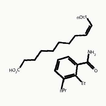 CCCCCCCC/C=C\CCCCCCCC(=O)O.CCCc1cccc(C(N)=O)c1CC